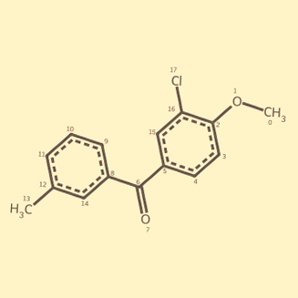 COc1ccc(C(=O)c2cccc(C)c2)cc1Cl